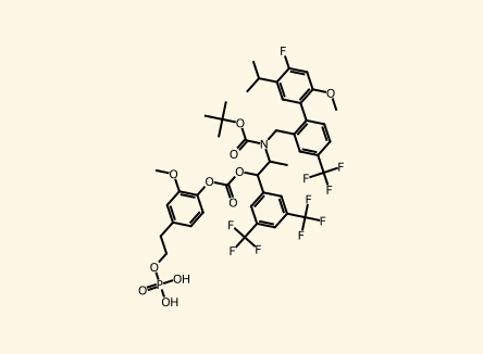 COc1cc(CCOP(=O)(O)O)ccc1OC(=O)OC(c1cc(C(F)(F)F)cc(C(F)(F)F)c1)C(C)N(Cc1cc(C(F)(F)F)ccc1-c1cc(C(C)C)c(F)cc1OC)C(=O)OC(C)(C)C